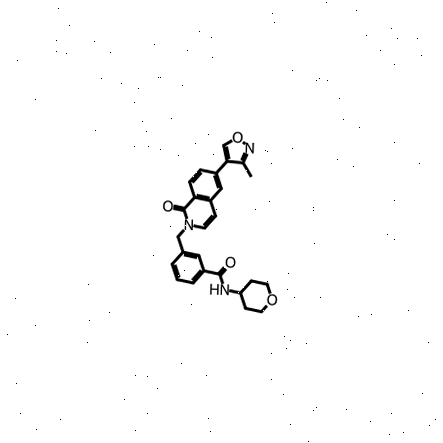 Cc1nocc1-c1ccc2c(=O)n(Cc3cccc(C(=O)NC4CCOCC4)c3)ccc2c1